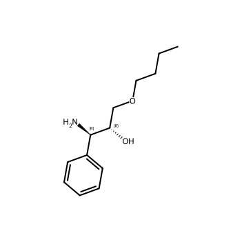 CCCCOC[C@H](O)[C@H](N)c1ccccc1